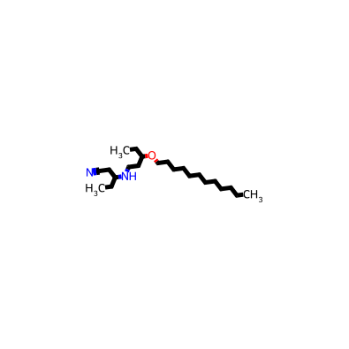 CCCCCCCCCCCCOC(CC)CCNC(CC)CC#N